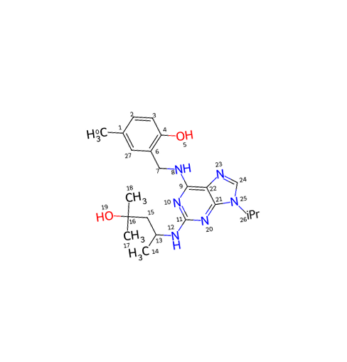 Cc1ccc(O)c(CNc2nc(NC(C)CC(C)(C)O)nc3c2ncn3C(C)C)c1